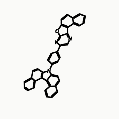 c1ccc2c(c1)ccc1oc3nc(-c4ccc(-n5c6ccc7ccccc7c6c6c7ccccc7ccc65)cc4)cnc3c12